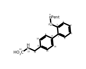 CCCCCOc1ccccc1-c1ccc(CNC(=O)O)cc1